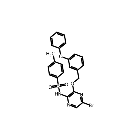 Cc1ccc(S(=O)(=O)Nc2ncc(Br)nc2OCc2cccc(Oc3ccccc3)c2)cc1